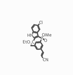 CCOC(=O)c1[nH]c2ccc(Cl)cc2c1P(=O)(OC)c1cc(C)cc(/C=C/C#N)c1